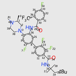 C[C@H]1CN(c2cc(F)c(-c3ccc(C(=O)NC(C)(C)CC(C)(C)C)c(F)c3F)cc2NC(=O)c2ccc(F)cc2C(F)(F)F)CCN1C